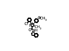 COc1ccc([C@H]2[C@@H](C)C(C(=O)NN3CCc4ccccc43)=NN2c2ccccc2Cl)cc1